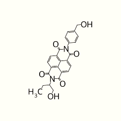 CCC(CO)N1C(=O)c2ccc3c4c(ccc(c24)C1=O)C(=O)N(c1ccc(CO)cc1)C3=O